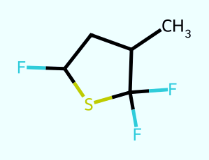 CC1CC(F)SC1(F)F